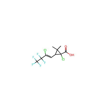 CC1(C)C(C=C(Cl)C(F)(F)C(F)(F)F)C1(Cl)C(=O)O